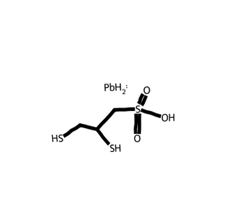 O=S(=O)(O)CC(S)CS.[PbH2]